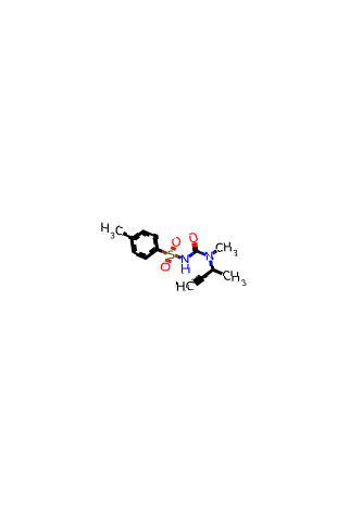 C#CC(C)N(C)C(=O)NS(=O)(=O)c1ccc(C)cc1